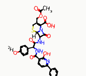 [2H]Oc1ccc(C(NC(=O)c2ccc(-c3ccc(C)cc3)nc2O)C(=O)NC2C(=O)N3C(C(=O)O)=C(COC(C)=O)CS[C@@H]23)cc1